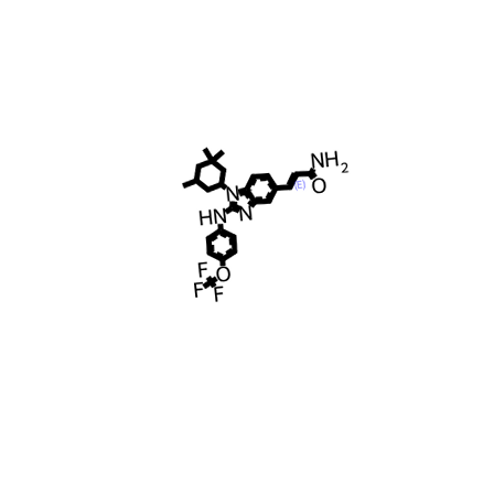 CC1CC(n2c(Nc3ccc(OC(F)(F)F)cc3)nc3cc(/C=C/C(N)=O)ccc32)CC(C)(C)C1